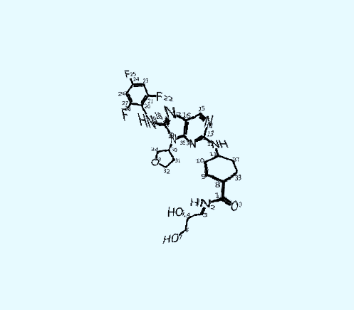 O=C(NC[C@@H](O)CO)C1CCC(Nc2ncc3nc(Nc4c(F)cc(F)cc4F)n([C@H]4CCOC4)c3n2)CC1